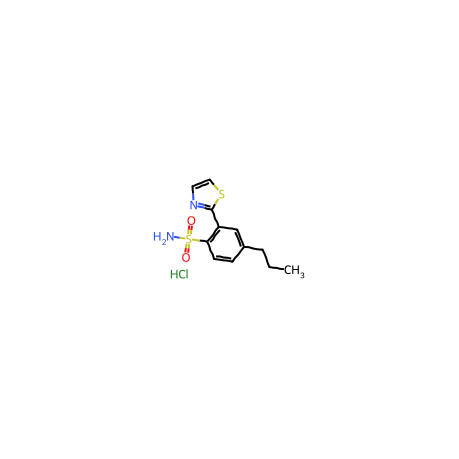 CCCc1ccc(S(N)(=O)=O)c(-c2nccs2)c1.Cl